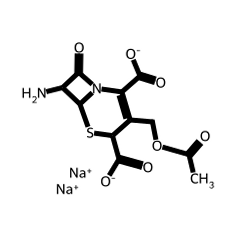 CC(=O)OCC1=C(C(=O)[O-])N2C(=O)C(N)C2SC1C(=O)[O-].[Na+].[Na+]